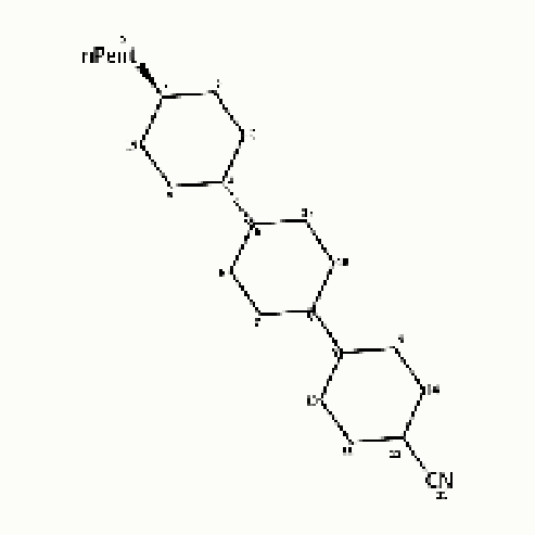 CCCCC[C@H]1CC[C@H](C2CCC(C3CCC(C#N)CC3)CC2)CC1